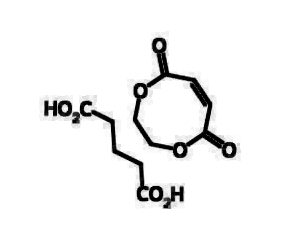 O=C(O)CCCC(=O)O.O=C1/C=C\C(=O)OCCO1